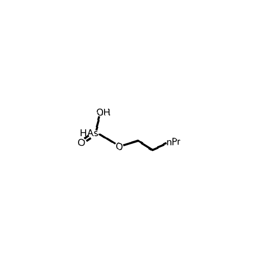 CCCCCO[AsH](=O)O